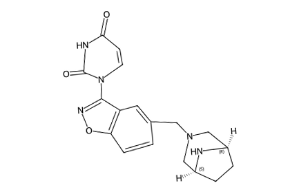 O=c1ccn(-c2noc3ccc(CN4C[C@H]5CC[C@@H](C4)N5)cc23)c(=O)[nH]1